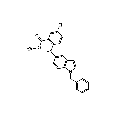 CC(C)(C)OC(=O)c1cc(Cl)ncc1Nc1ccc2c(ccn2Cc2ccccc2)c1